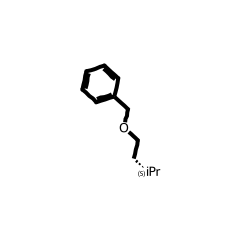 [CH2][C@@H](C)CCOCc1ccccc1